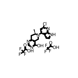 C[C@@H]1Cc2ncnc(O)c2CN1c1cc(Cl)nc2[nH]ccc12.O=C(O)C(F)(F)F.O=C(O)C(F)(F)F